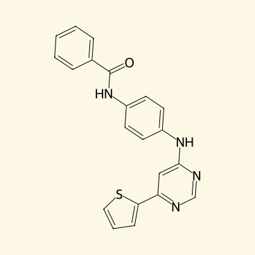 O=C(Nc1ccc(Nc2cc(-c3cccs3)ncn2)cc1)c1ccccc1